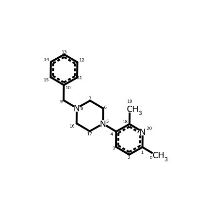 Cc1ccc(N2CCN(Cc3ccccc3)CC2)c(C)n1